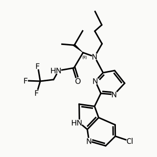 CCCCN(c1ccnc(-c2c[nH]c3ncc(Cl)cc23)n1)[C@@H](C(=O)NCC(F)(F)F)C(C)C